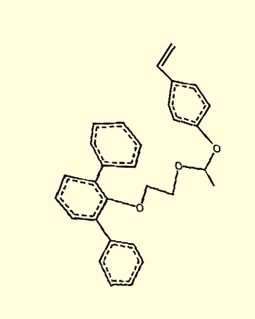 C=Cc1ccc(OC(C)OCCOc2c(-c3ccccc3)cccc2-c2ccccc2)cc1